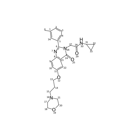 Cc1cccc(-c2nc3ccc(OCCCN4CCOCC4)cc3c(=O)n2CC(=O)NC2CC2)c1